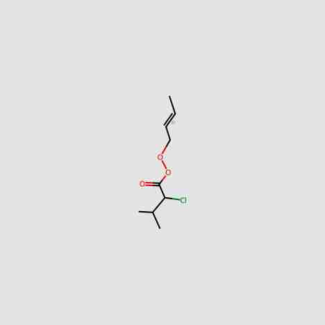 C/C=C/COOC(=O)C(Cl)C(C)C